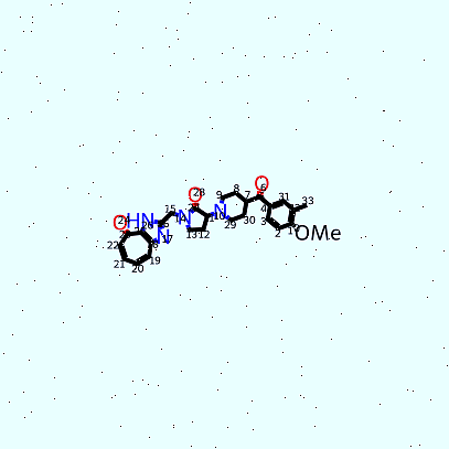 COc1ccc(C(=O)C2CCN(C3CCN(Cc4nc5ccccc(=O)c5[nH]4)C3=O)CC2)cc1C